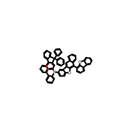 c1ccc(-c2ccccc2N(c2ccc3c(c2)C(c2ccccc2)(c2ccccc2)c2ccccc2-3)c2ccc3oc4c(-c5cccc6c5oc5ccccc56)c5ccccc5cc4c3c2)cc1